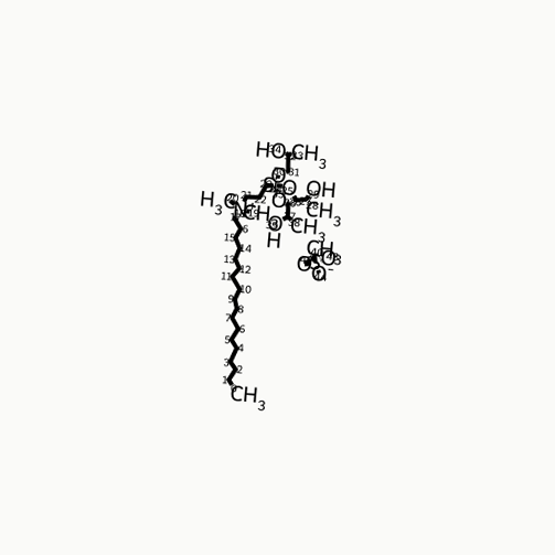 CCCCCCCCCCCCCCCCCC[N+](C)(C)CCC[Si](OCC(C)O)(OCC(C)O)OCC(C)O.CS(=O)(=O)[O-]